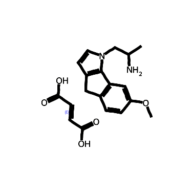 COc1ccc2c(c1)-c1c(ccn1CC(C)N)C2.O=C(O)/C=C/C(=O)O